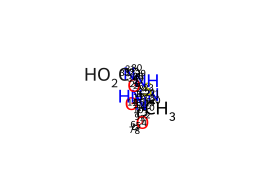 Cc1cc(OC2CCC2)ccc1N1C(=O)NC2c3c1ccnc3SC2C(=O)N[C@@H]1CCCN(C(=O)O)C1